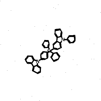 c1ccc(-n2c3ccccc3c3cc([Si](c4ccccc4)(c4ccccc4)c4ccc(-n5c6ccccc6c6ccccc65)cc4)ccc32)cc1